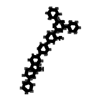 Fc1cc(-c2ccc(-c3ccc4c(c3)[nH]c3cc(-c5ccccc5)ccc34)cc2)ccc1-c1nc(-c2ccccc2)nc(-c2ccccc2)n1